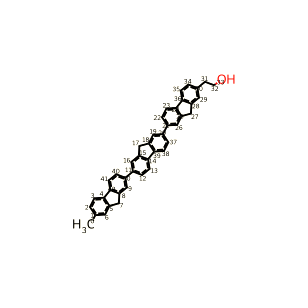 Cc1ccc2c(c1)Cc1cc(-c3ccc4c(c3)Cc3cc(-c5ccc6c(c5)Cc5cc(CCO)ccc5-6)ccc3-4)ccc1-2